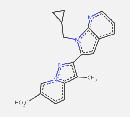 Cc1c(-c2cc3cccnc3n2CC2CC2)nn2cc(C(=O)O)ccc12